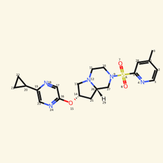 Cc1ccnc(S(=O)(=O)N2CCN3C[C@@H](Oc4cnc(C5CC5)cn4)C[C@H]3C2)c1